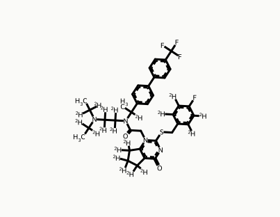 [2H]c1c([2H])c(CSc2nc(=O)c3c(n2CC(=O)N(C([2H])(C)c2ccc(-c4ccc(C(F)(F)F)cc4)cc2)C([2H])([2H])C([2H])([2H])N(C([2H])([2H])C)C([2H])([2H])C)C([2H])([2H])C([2H])([2H])C3([2H])[2H])c([2H])c([2H])c1F